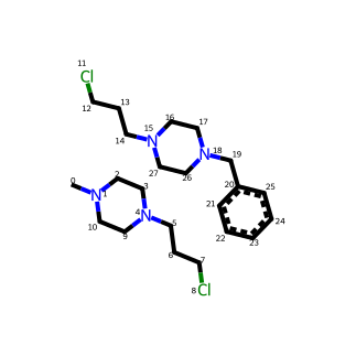 CN1CCN(CCCCl)CC1.ClCCCN1CCN(Cc2ccccc2)CC1